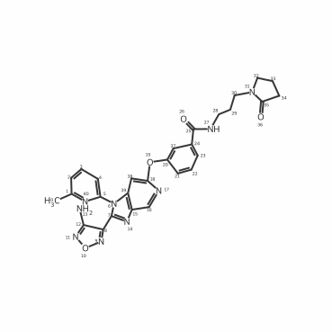 Cc1cccc(-n2c(-c3nonc3N)nc3cnc(Oc4cccc(C(=O)NCCCN5CCCC5=O)c4)cc32)n1